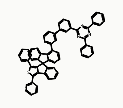 c1ccc(-c2nc(-c3ccccc3)nc(-c3cccc(-c4cccc(-c5cccc6c5-c5ccccc5C65c6ccccc6-c6c(-c7ccccc7)sc(-c7ccccc7)c65)c4)c3)n2)cc1